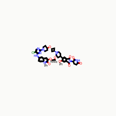 CNC(=O)COc1cc2cc(Nc3nc(N4CCC(O[C@H]5C[C@H](N6CCC(c7cc8c(cc7OC(C)C)C(=O)N(C7CCC(=O)NC7=O)C8=O)CC6)C5)CC4)ncc3Cl)ccc2n(C(C)C)c1=O